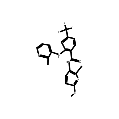 COc1ccc(NC(=O)c2ccc(C(F)(F)F)cc2Nc2cccnc2C)c(C)n1